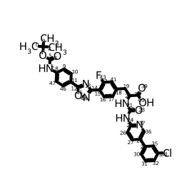 CC(C)(C)OC(=O)Nc1ccc(-c2nc(-c3ccc(CC(NC(=O)Nc4ccc(-c5cccc(Cl)c5)cn4)C(=O)O)cc3F)no2)cc1